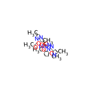 COc1cccc(OC)c1-n1c(NS(=O)(=O)[C@H](C)[C@H](OCC(C)=O)c2ncc(C)cn2)nnc1-c1cncc(C)c1